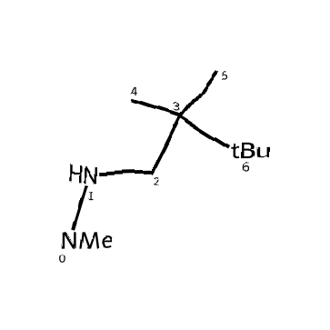 CNNCC(C)(C)C(C)(C)C